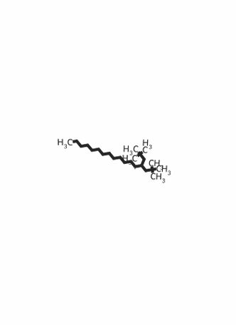 CCCCCCCCCCCC[CH]C(CC(C)(C)C)CC(C)(C)C